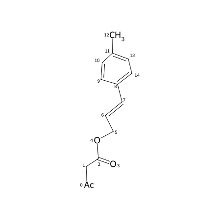 CC(=O)CC(=O)OCC=Cc1ccc(C)cc1